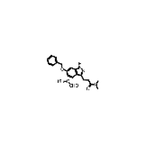 CC(C)(C)OC=O.CN(C)C(=O)CCc1n[nH]c2cc(OCc3ccccc3)ccc12